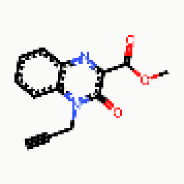 C#CCn1c(=O)c(C(=O)OC)nc2ccccc21